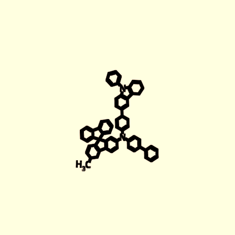 CC1C=CC2=C(C1)c1ccc(N(C3=CCC(c4ccc5c(c4)c4c(n5-c5ccccc5)C=CCC4)C=C3)c3ccc(-c4ccccc4)cc3)cc1C21c2ccccc2-c2ccccc21